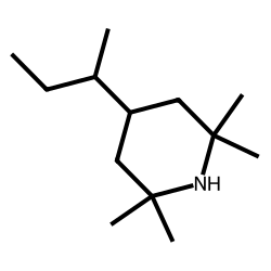 CCC(C)C1CC(C)(C)NC(C)(C)C1